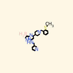 Bc1cnn2c(NCc3cccnc3)cc(C3CCN(Cc4ccccc4SCC)CC3)nc12